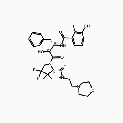 Cc1c(O)cccc1C(=O)N[C@@H](Cc1ccccc1)[C@H](O)C(=O)N1CC(F)(F)C(C)(C)[C@H]1C(=O)NCCN1CCOCC1